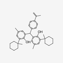 C=C(C)c1ccc(C(c2cc(C)cc(C3(C)CCCCC3)c2O)c2cc(C)cc(C3(C)CCCCC3)c2O)cc1